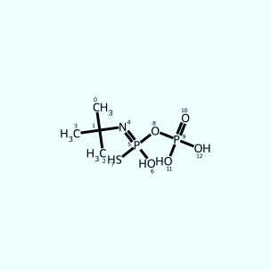 CC(C)(C)N=P(O)(S)OP(=O)(O)O